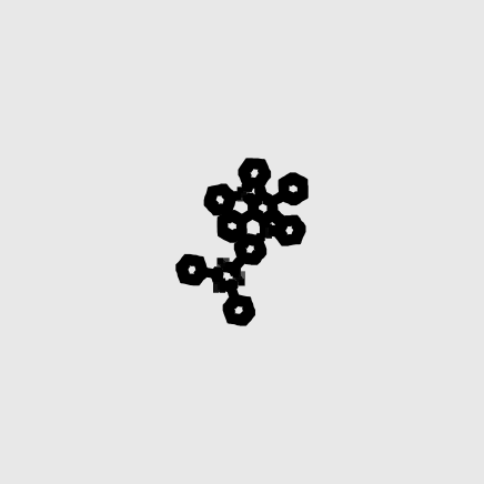 c1ccc(-c2nc(-c3ccccc3)nc(-c3ccc(-n4c5ccccc5c5c(-c6ccccc6)c6c7ccccc7n(-c7ccccc7)c6c(-c6ccccc6)c54)cc3)n2)cc1